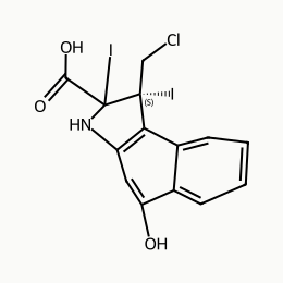 O=C(O)C1(I)Nc2cc(O)c3ccccc3c2[C@]1(I)CCl